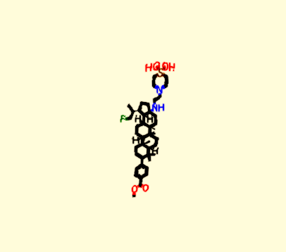 COC(=O)c1ccc(C2=CC[C@]3(C)[C@H]4CC[C@@H]5[C@H]6[C@H](C(C)CF)CC[C@]6(NCCN6CCS(O)(O)CC6)CC[C@@]5(C)[C@]4(C)CC[C@H]3C2(C)C)cc1